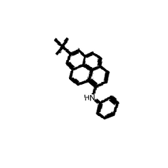 CC(C)(C)c1cc2ccc3ccc(Nc4ccccc4)c4ccc(c1)c2c34